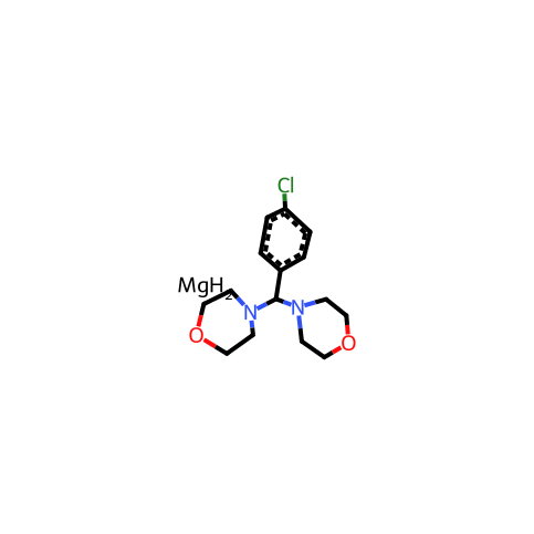 Clc1ccc(C(N2CCOCC2)N2CCOCC2)cc1.[MgH2]